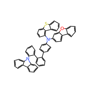 c1ccc(-c2ccccc2-n2c3ccccc3c3ccccc32)c(-c2ccc(N(c3ccc4c(c3)oc3ccccc34)c3cccc4sc5ccccc5c34)cc2)c1